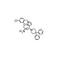 NC(=O)COc1cc(Cl)ccc1Cn1ccc(CN2CCC(c3ccccc3)(c3ccccc3)CC2)n1